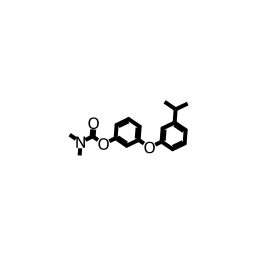 CC(C)c1cccc(Oc2cccc(OC(=O)N(C)C)c2)c1